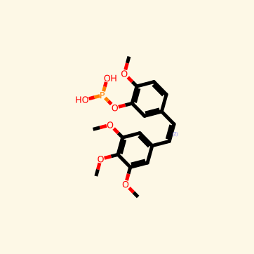 COc1ccc(/C=C\c2cc(OC)c(OC)c(OC)c2)cc1OP(O)O